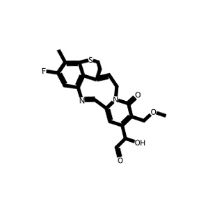 COCc1c(C(O)C=O)cc2n(c1=O)C/C=C1\CCSc3c(C)c(F)cc(c31)/N=C/2